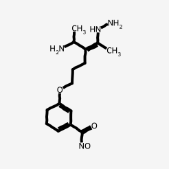 C/C(NN)=C(\CCCOC1=CC(C(=O)N=O)=CCC1)C(C)N